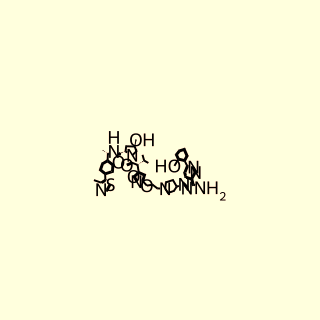 Cc1ncsc1-c1ccc([C@H](C)NC(=O)[C@@H]2C[C@@H](O)CN2C(=O)[C@@H](c2cc(OCCN3CCC(n4nc(N)c5nnc(-c6ccccc6O)cc54)CC3)no2)C(C)C)cc1